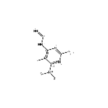 Cc1c(NC=N)nc(N)nc1N(C)C